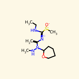 C=C(/N=C(\NCC)[S+](C)[O-])N(NC)C1CCCCO1